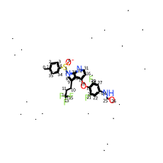 Cc1ccc([S+]([O-])n2cc(CCC(F)(F)F)c3c(Oc4c(F)cc(NC=O)cc4F)ccnc32)cc1